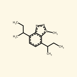 CCC(C)c1ccc(C(C)CC)c2c1nnn2C